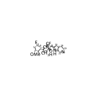 COc1ccc(F)cc1C(C)(C)CC(O)(Cc1cc2ccncc2[nH]1)CC(F)(F)F